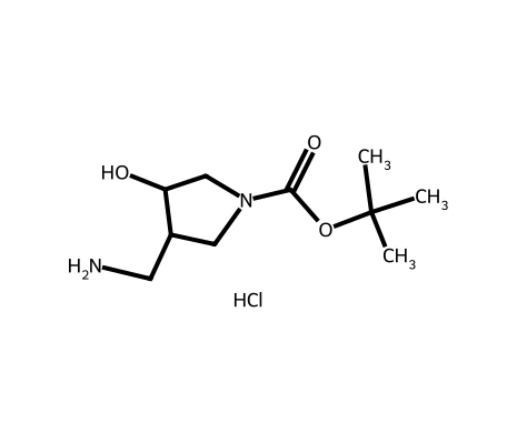 CC(C)(C)OC(=O)N1CC(O)C(CN)C1.Cl